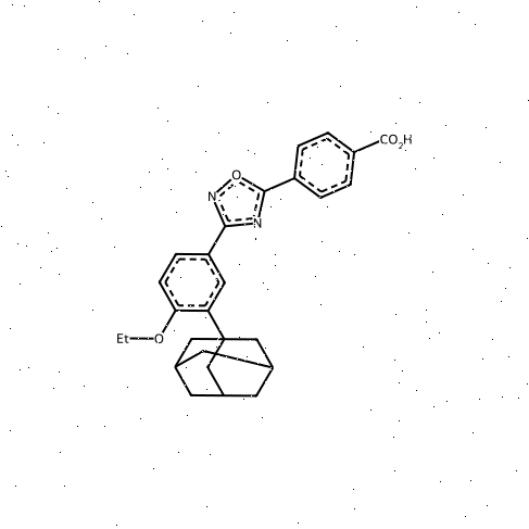 CCOc1ccc(-c2noc(-c3ccc(C(=O)O)cc3)n2)cc1C12CC3CC(CC(C3)C1)C2